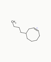 CCC[CH]C1C/C=C\CCCC1